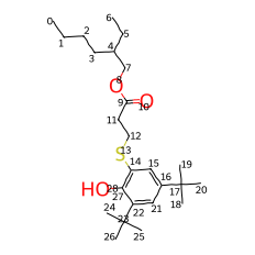 CCCCC(CC)COC(=O)CCSc1cc(C(C)(C)C)cc(C(C)(C)C)c1O